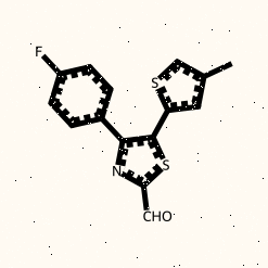 Cc1csc(-c2sc(C=O)nc2-c2ccc(F)cc2)c1